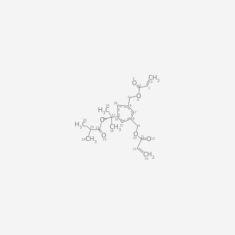 C=CC(=O)OCc1cc(COC(=O)C=C)cc(C(C)(C)OC(=O)C(C)C)c1